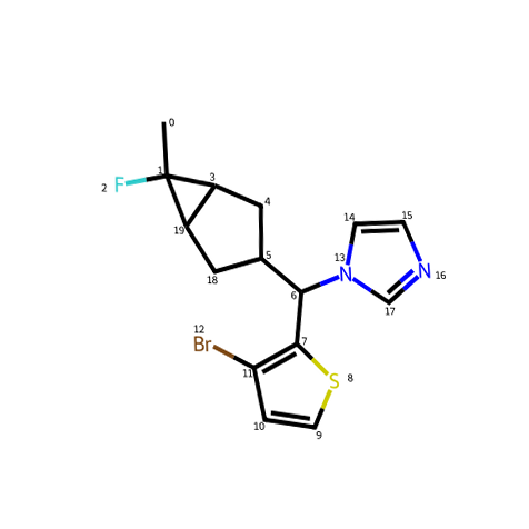 CC1(F)C2CC(C(c3sccc3Br)n3ccnc3)CC21